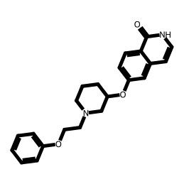 O=c1[nH]ccc2cc(OC3CCCN(CCOc4ccccc4)C3)ccc12